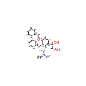 CC(C)N(CC[C@H](c1ccccc1)c1cc(C(O)CO)ccc1OCc1ccccc1)C(C)C